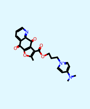 Cc1oc2c(c1C(=O)OCCC[n+]1ccc(N(C)C)cc1)C(=O)c1ncccc1C2=O